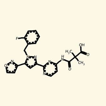 CC(C)(C(=O)O)C(=O)Nc1ccnc(-c2cc(-c3ccon3)n(Cc3ccccc3F)n2)n1